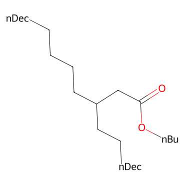 CCCCCCCCCCCCCCC(CCCCCCCCCCCC)CC(=O)OCCCC